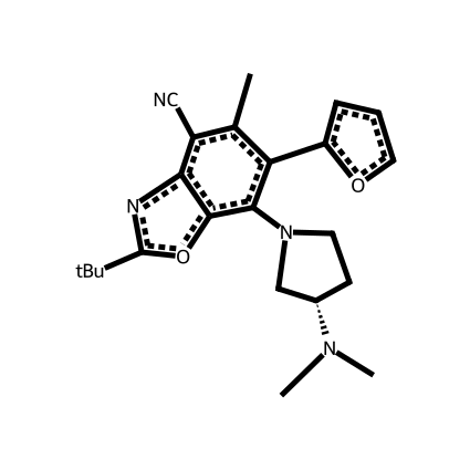 Cc1c(-c2ccco2)c(N2CC[C@H](N(C)C)C2)c2oc(C(C)(C)C)nc2c1C#N